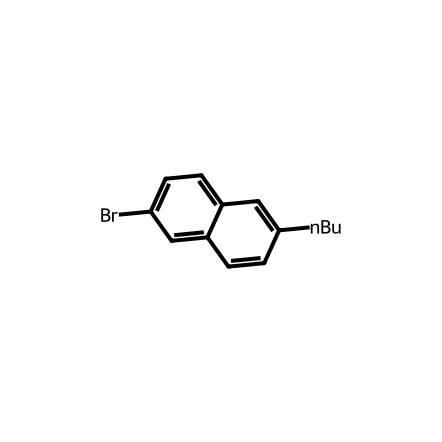 [CH2]CCCc1ccc2cc(Br)ccc2c1